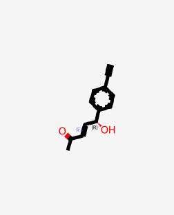 C#Cc1ccc([C@H](O)/C=C/C(C)=O)cc1